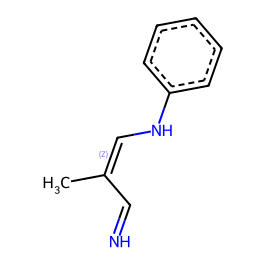 C/C(C=N)=C/Nc1ccccc1